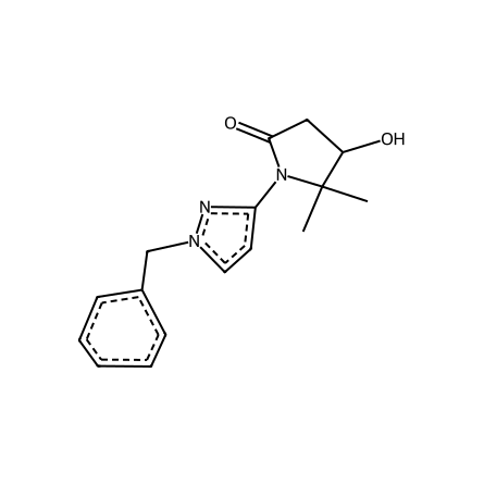 CC1(C)C(O)CC(=O)N1c1ccn(Cc2ccccc2)n1